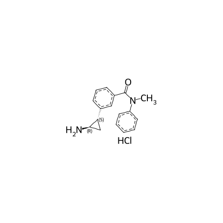 CN(C(=O)c1cccc([C@@H]2C[C@H]2N)c1)c1ccccc1.Cl